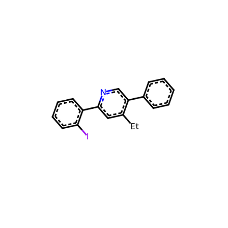 CCc1cc(-c2ccccc2I)ncc1-c1ccccc1